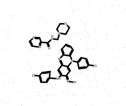 CC(C)/N=c1\cc2n(-c3ccc(Cl)cc3)c3ccccc3nc-2cc1Nc1ccc(Cl)cc1.O=C(NCN1CCOCC1)c1cnccn1